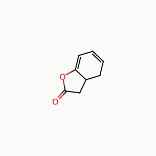 O=C1CC2CC=CC=C2O1